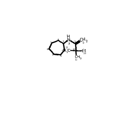 C=C(NC1CCCCCC1)C(C)(C)CC